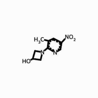 Cc1cc([N+](=O)[O-])cnc1N1CC(O)C1